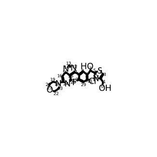 OCc1csc(C(O)c2cc(-c3ncnc4cc(N5CCOCC5)ncc34)c(F)cc2Cl)n1